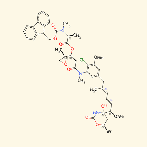 COc1cc(C/C(C)=C/C=C/[C@@H](OC)[C@@]2(O)C[C@@H](C(C)C)OC(=O)N2)cc(N(C)C(=O)C[C@H](OC(=O)[C@H](C)N(C)C(=O)OCC2c3ccccc3-c3ccccc32)[C@@]2(C)CO2)c1Cl